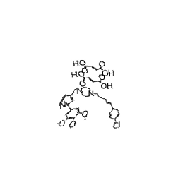 COc1cc(-c2cc(CN3CCN(CCC/C=C/c4ccc(Cl)cc4)CC3)ccn2)cc(OC)c1OC.O=C(O)/C=C/C(=O)O.O=C(O)/C=C/C(=O)O